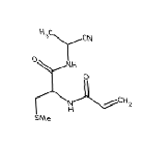 C=CC(=O)NC(CSC)C(=O)NC(C)C#N